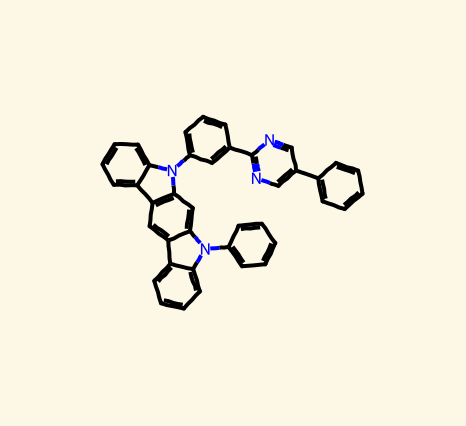 c1ccc(-c2cnc(-c3cccc(-n4c5ccccc5c5cc6c7ccccc7n(-c7ccccc7)c6cc54)c3)nc2)cc1